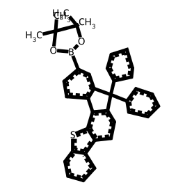 CC1(C)OB(c2ccc3c(c2)C(c2ccccc2)(c2ccccc2)c2ccc4c(sc5ccccc54)c2-3)OC1(C)C